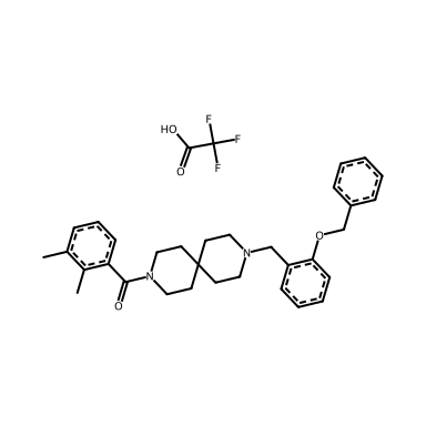 Cc1cccc(C(=O)N2CCC3(CCN(Cc4ccccc4OCc4ccccc4)CC3)CC2)c1C.O=C(O)C(F)(F)F